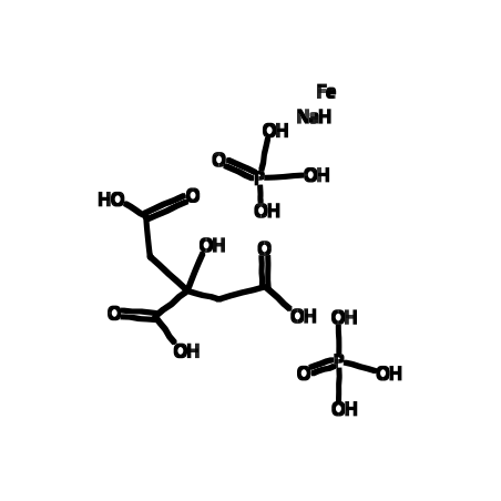 O=C(O)CC(O)(CC(=O)O)C(=O)O.O=P(O)(O)O.O=P(O)(O)O.[Fe].[NaH]